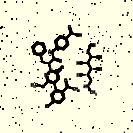 CNC[C@H](O)[C@@H](O)[C@H](O)[C@H](O)CO.COc1nn([C@@H](Cc2ccccc2)C(=O)Nc2ccc(C(=O)O)cc2)c(=O)cc1-c1cc(Cl)ccc1C(C)=O